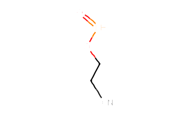 N#CCCO[PH]=O